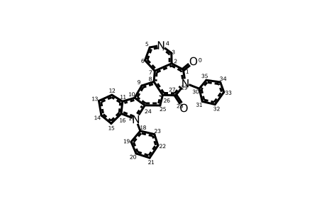 O=c1c2cnccc2c2cc3c4ccccc4n(-c4ccccc4)c3cc2c(=O)n1-c1ccccc1